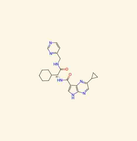 O=C(N[C@@H](C(=O)NCc1ccncn1)C1CCCCC1)c1c[nH]c2ncc(C3CC3)nc12